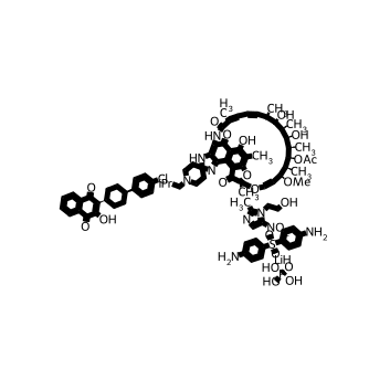 CO[C@@H]1/C=C\O[C@@]2(C)Oc3c(C)c(O)c4c(c3C2=O)C2=NC3(CCN(CC(C)C)CC3)NC2=C(NC(=O)/C(C)=C\C=C/[C@@H](C)[C@@H](O)[C@H](C)[C@H](O)[C@H](C)[C@H](OC(C)=O)[C@@H]1C)C4=O.Cc1ncc([N+](=O)[O-])n1CCO.Nc1ccc(S(=O)(=O)c2ccc(N)cc2)cc1.O=C1C(O)=C([C@H]2CC[C@H](c3ccc(Cl)cc3)CC2)C(=O)c2ccccc21.O=P(O)(O)O.[LiH]